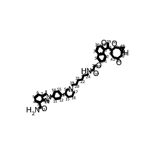 NC(=O)c1cccc2cn(-c3ccc([C@@H]4CCCN(CCCCCCNC(=O)COc5ccc6c(ccc7occ(C8CCC(=O)C[C@H]9CC9C8=O)c76)c5)C4)cc3)nc12